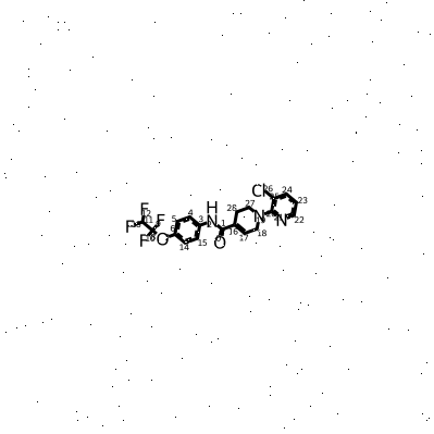 O=C(Nc1ccc(OC(F)(F)C(F)F)cc1)C1=CCN(c2ncccc2Cl)CC1